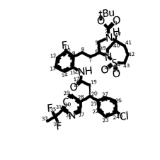 CC(C)(C)OC(=O)N1CC(CCc2c(F)cccc2NC(=O)C[C@@H](c2ccc(Cl)cc2)c2ccc(C(C)(F)F)nc2)N2C[C@H]1CCCS2(=O)=O